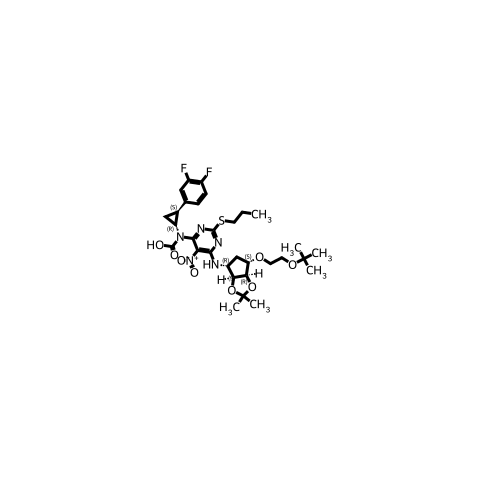 CCCSc1nc(N[C@@H]2C[C@H](OCCOC(C)(C)C)[C@H]3OC(C)(C)O[C@H]32)c([N+](=O)[O-])c(N(C(=O)O)[C@@H]2C[C@H]2c2ccc(F)c(F)c2)n1